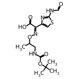 CC(CNC(=O)OC(C)(C)C)ON=C(C(=O)O)c1csc(NC=O)n1